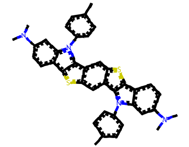 Cc1ccc(-n2c3cc(N(C)C)ccc3c3sc4cc5c(cc4c32)sc2c3ccc(N(C)C)cc3n(-c3ccc(C)cc3)c52)cc1